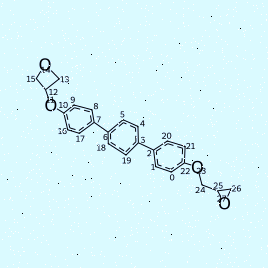 c1cc(-c2ccc(-c3ccc(OC4COC4)cc3)cc2)ccc1OCC1CO1